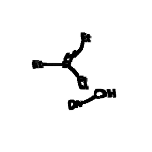 CC[SiH](CC)CC.O=NO